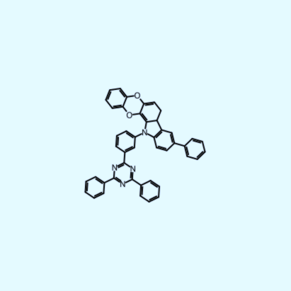 C1=C2Oc3ccccc3OC2=C2C(C1)c1cc(-c3ccccc3)ccc1N2c1cccc(-c2nc(-c3ccccc3)nc(-c3ccccc3)n2)c1